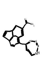 NC(=O)c1cc2c3c(ccc(C4=NN=NNC=C4)c3c1)C=C2